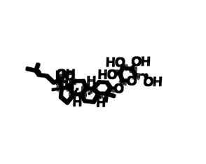 CC(C)=CCC[C@](C)(O)[C@@]1(C)CC[C@@]2(C)[C@H]1[C@@H](O)C[C@@H]1[C@@H]2CC[C@@H]2C(C)(C)[C@H](O[C@H]3O[C@@H](CO)[C@H](O)[C@@H](O)[C@@H]3O)CC[C@]12C